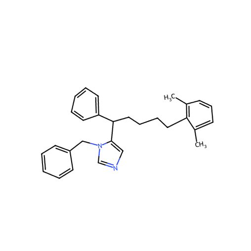 Cc1cccc(C)c1CCCCC(c1ccccc1)c1cncn1Cc1ccccc1